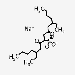 CCCCC(CC)CC(=O)CC(C(=O)CC(CC)CCCC)S(=O)(=O)[O-].[Na+]